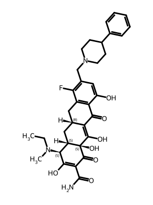 CCN(C)[C@@H]1C(O)=C(C(N)=O)C(=O)[C@@]2(O)C(O)=C3C(=O)c4c(O)cc(CN5CCC(c6ccccc6)CC5)c(F)c4C[C@H]3C[C@@H]12